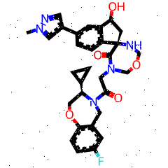 Cn1cc(-c2ccc3c(c2)C(O)C[C@]32NCOCN(CC(=O)N3Cc4cc(F)ccc4OC[C@H]3C3CC3)C2=O)cn1